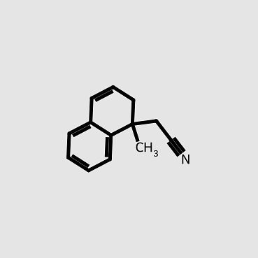 CC1(CC#N)CC=Cc2ccccc21